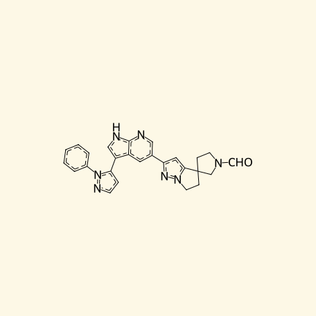 O=CN1CCC2(CCn3nc(-c4cnc5[nH]cc(-c6ccnn6-c6ccccc6)c5c4)cc32)C1